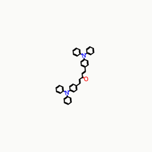 O=C(C=Cc1ccc(N(c2ccccc2)c2ccccc2)cc1)C=Cc1ccc(N(c2ccccc2)c2ccccc2)cc1